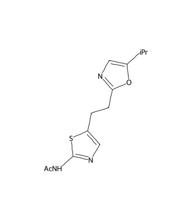 CC(=O)Nc1ncc(CCc2ncc(C(C)C)o2)s1